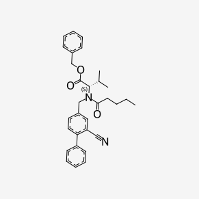 CCCCC(=O)N(Cc1ccc(-c2ccccc2)c(C#N)c1)[C@H](C(=O)OCc1ccccc1)C(C)C